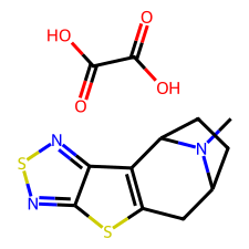 CN1C2CCC1c1c(sc3nsnc13)C2.O=C(O)C(=O)O